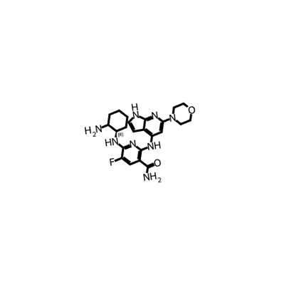 NC(=O)c1cc(F)c(N[C@@H]2CCCCC2N)nc1Nc1cc(N2CCOCC2)nc2[nH]ccc12